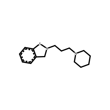 c1ccc2c(c1)CN(CCCN1CCCCC1)S2